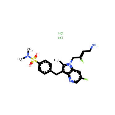 Cc1c(Cc2ccc(S(=O)(=O)N(C)C)cc2)c2ncc(F)cc2n1C/C(F)=C/CN.Cl.Cl